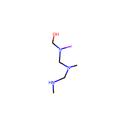 CNCN(C)CN(I)CO